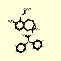 Cc1ccc2c(c1OCC(=O)O)CCC1OC1(OC(=O)N(c1ccccc1)c1ccccc1)C2